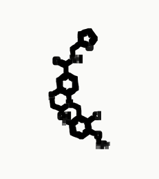 CCCOc1ccc(F)c(CN2c3ccc(C(=O)NCc4ccco4)cc3SCC2O)c1Cl